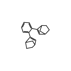 C1=C(c2ccccc2C2=CC3CCC2C3)C2CCC1C2